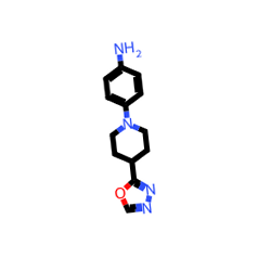 Nc1ccc(N2CCC(c3nnco3)CC2)cc1